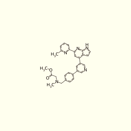 COC(=O)CN(C)Cc1ccc(-c2cncc(-c3cc(-c4cccc(C)n4)nc4[nH]ccc34)c2)cc1